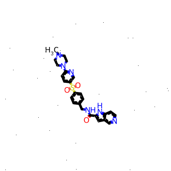 CN1CCN(c2ccc(S(=O)(=O)c3ccc(CNC(=O)c4cc5cnccc5[nH]4)cc3)cn2)CC1